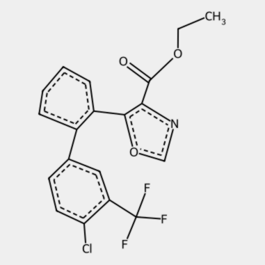 CCOC(=O)c1ncoc1-c1ccccc1-c1ccc(Cl)c(C(F)(F)F)c1